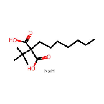 CCCCCCCC(C(=O)O)(C(=O)O)C(C)(C)C.[NaH]